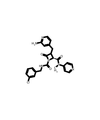 CN(C(=O)[C@@H]1C(Cc2ccnc(N)c2)C(=O)N1C(=O)NCc1cccc(Cl)c1)c1ccncc1